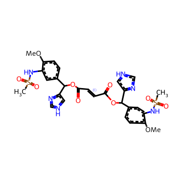 COc1ccc(C(OC(=O)/C=C/C(=O)OC(c2ccc(OC)c(NS(C)(=O)=O)c2)c2c[nH]cn2)c2c[nH]cn2)cc1NS(C)(=O)=O